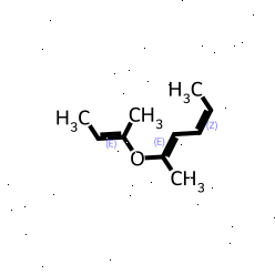 C/C=C\C=C(/C)O/C(C)=C/C